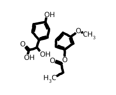 CCC(=O)Oc1cccc(OC)c1.O=C(O)C(O)c1ccc(O)cc1